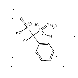 O.O=P(O)(O)C(Cl)(c1ccccc1)P(=O)(O)O